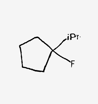 C[C](C)C1(F)CCCC1